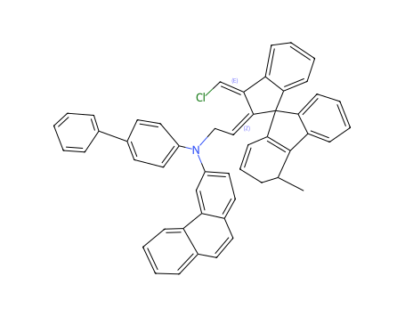 CC1CC=CC2=C1c1ccccc1C21C(=C/CN(c2ccc(-c3ccccc3)cc2)c2ccc3ccc4ccccc4c3c2)/C(=C\Cl)c2ccccc21